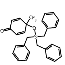 O=C1C=CC(O[Si](Cc2ccccc2)(Cc2ccccc2)Cc2ccccc2)(C(F)(F)F)C=C1